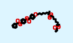 C=CC(=O)OC(C)(C)CCCCCC(=O)OC(C)(C)CCCCCCOc1ccc(C(=O)Oc2ccc(OC(=O)c3ccccc3)cc2)cc1